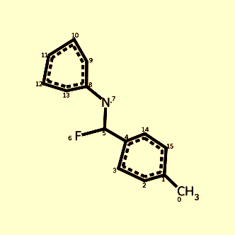 Cc1ccc(C(F)[N]c2ccccc2)cc1